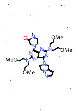 COCCN(CCOC)c1nc(N2CCn3nccc3C2)c2nc(N(CCOC)CCOC)nc(N3CCN(C)C(=O)C3)c2n1